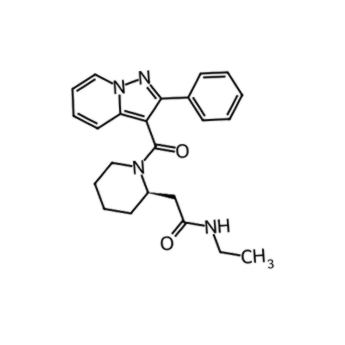 CCNC(=O)C[C@H]1CCCCN1C(=O)c1c(-c2ccccc2)nn2ccccc12